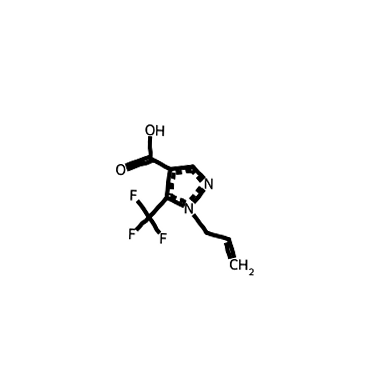 C=CCn1ncc(C(=O)O)c1C(F)(F)F